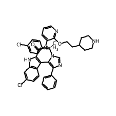 C[C@@H](c1ccc(Cl)cc1)n1cnc(-c2ccccc2)c1-c1c(C(=O)Nc2cccnc2OCCC2CCNCC2)[nH]c2cc(Cl)ccc12